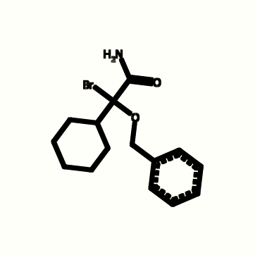 NC(=O)C(Br)(OCc1ccccc1)C1CCCCC1